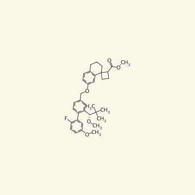 COC(=O)C1CCC12CCCc1ccc(OCc3ccc(-c4cc(OC)ccc4F)c([C@@H](OC)C(C)(C)C)c3)cc12